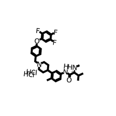 CN[C@H](C(=O)Nc1ccc(C)c(C2CCN(Cc3ccc(Oc4cc(F)c(F)cc4F)cc3)CC2)c1)C(C)C.Cl.Cl